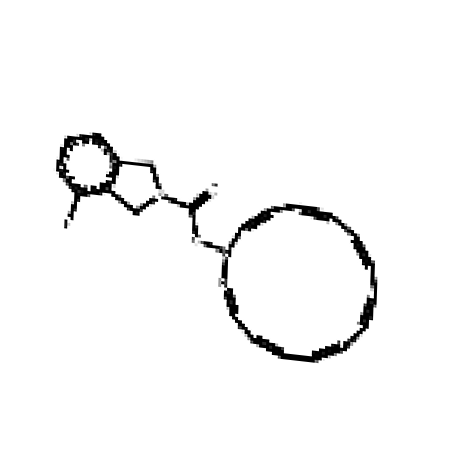 O=C(ON1C=CC=CC=CC=CC=CC=CC=N1)N1Cc2cccc(F)c2C1